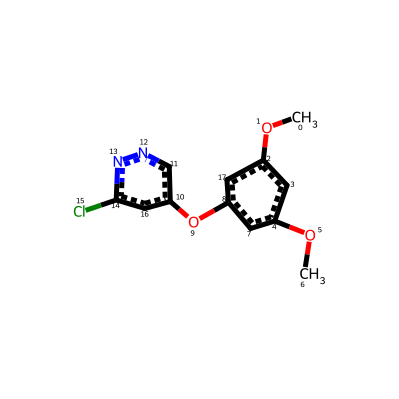 COc1cc(OC)cc(Oc2cnnc(Cl)c2)c1